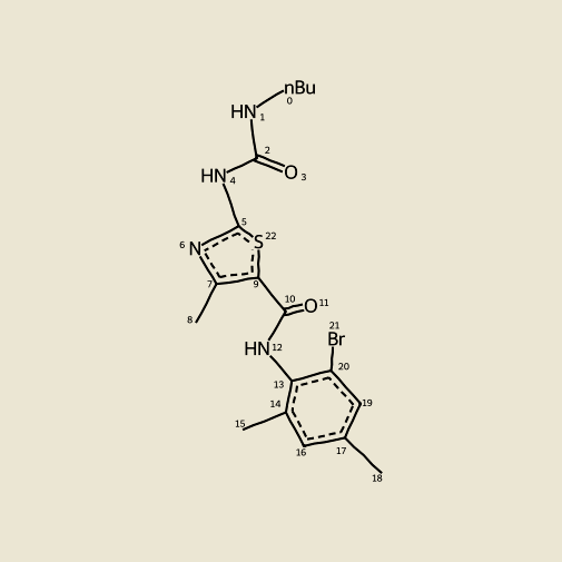 CCCCNC(=O)Nc1nc(C)c(C(=O)Nc2c(C)cc(C)cc2Br)s1